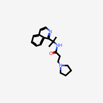 CC(C)(NC(=O)CCN1CCCC1)c1nccc2ccccc12